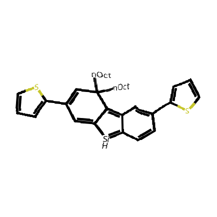 CCCCCCCCC1(CCCCCCCC)C=C(c2cccs2)C=C2[SiH]=c3ccc(-c4cccs4)cc3=C21